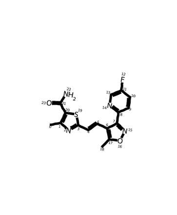 Cc1nc(C=Cc2c(-c3ccc(F)cn3)noc2C)sc1C(N)=O